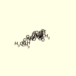 CC(C)OC(=O)[C@@H](C)NP(=O)(OC[C@H]1OC(n2ccc(NC(=O)c3ccc4c(c3)OC(C)(C)C4)nc2=O)C(F)(F)[C@@H]1O)Oc1ccccc1